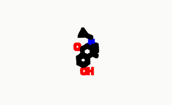 C[C@H]1C2C(=O)c3ccc(O)cc3C1(C)CCN2CC1CC1